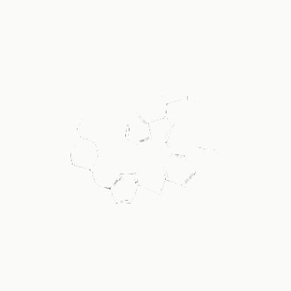 CCN1CCN(Cc2ccc(Nc3ncc(OC)c(-c4cn(C(C)C)c5cccnc45)n3)nc2)CC1